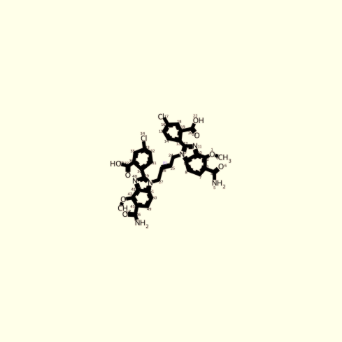 COc1c(C(N)=O)ccc2c1nc(-c1ccc(Cl)cc1C(=O)O)n2C/C=C/Cn1c(-c2ccc(Cl)cc2C(=O)O)nc2c(OC)c(C(N)=O)ccc21